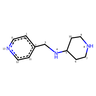 c1cc(CNC2CCNCC2)ccn1